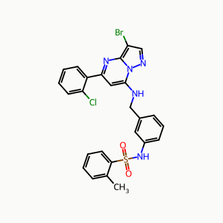 Cc1ccccc1S(=O)(=O)Nc1cccc(CNc2cc(-c3ccccc3Cl)nc3c(Br)cnn23)c1